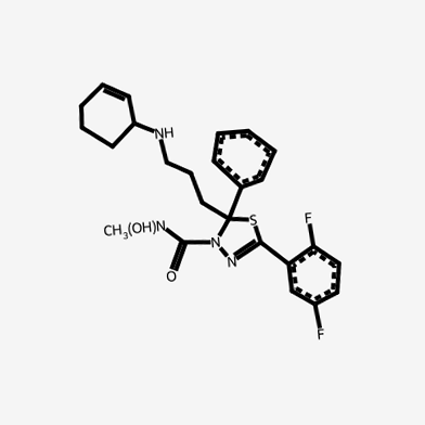 CN(O)C(=O)N1N=C(c2cc(F)ccc2F)SC1(CCCNC1C=CCCC1)c1ccccc1